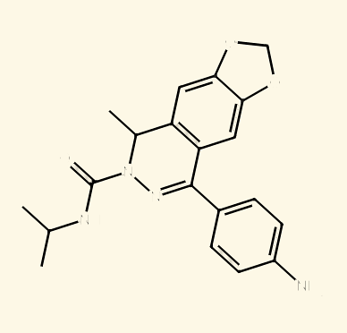 CC(C)NC(=O)N1N=C(c2ccc(N)cc2)c2cc3c(cc2C1C)OCO3